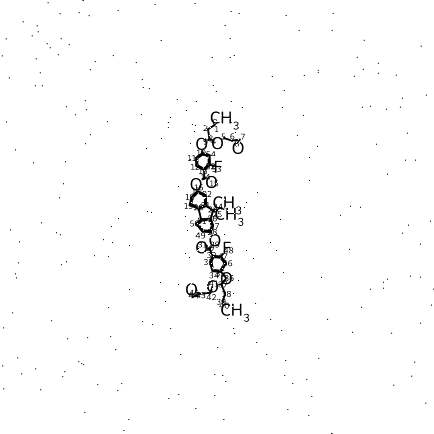 CCCC(OCC1CO1)Oc1ccc(C(=O)Oc2ccc3c(c2)C(C)(C)c2cc(OC(=O)c4ccc(OC(CCC)OCC5CO5)cc4F)ccc2-3)c(F)c1